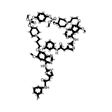 COc1cc2c(Nc3ncc(CC(=O)Nc4cccc(F)c4)s3)ncnc2cc1OCCCN1CCC(OP(=O)(OC)Oc2ccc(OP(=O)(OC)OC3CCN(CCCOc4cc5ncnc(Nc6ncc(CC(=O)Nc7cccc(F)c7)s6)c5cc4OC)CC3)cc2)CC1